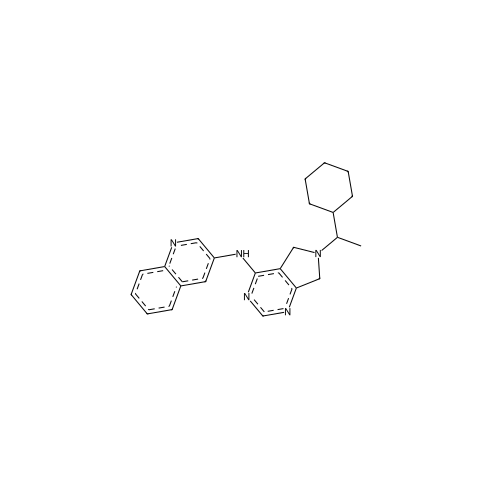 CC(C1CCCCC1)N1Cc2ncnc(Nc3cnc4ccccc4c3)c2C1